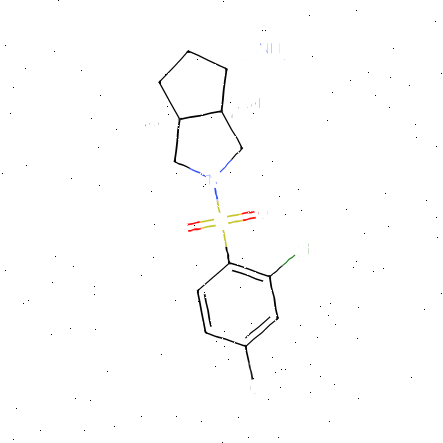 N[C@H]1CC[C@@H]2CN(S(=O)(=O)c3ccc(C(F)(F)F)cc3Cl)C[C@@H]21